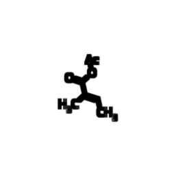 CC=C(C)C(=O)OC(C)=O